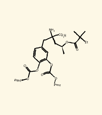 CCCC(C)OC(=O)Oc1ccc(CC(N)(C[C@H](C)OC(=O)C(C)(C)CC)C(=O)O)cc1OC(=O)OC(C)CCC